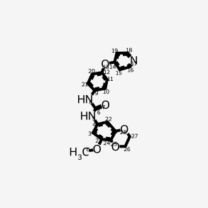 COc1cc(NC(=O)Nc2ccc(Oc3ccncc3)cc2)cc2c1OCCO2